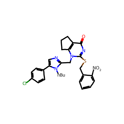 CCCCn1c(-c2ccc(Cl)cc2)cnc1Cn1c(SCc2ccccc2[N+](=O)[O-])nc(=O)c2c1CCC2